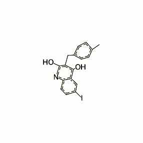 Cc1ccc(Cc2c(O)nc3ccc(I)cc3c2O)cc1